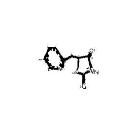 O=C1NC(=O)C(Cc2ccccn2)S1